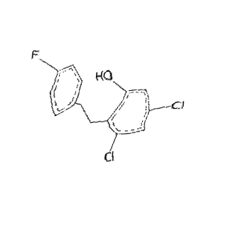 Oc1cc(Cl)cc(Cl)c1Cc1ccc(F)cc1